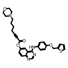 O=C(C#CCCCCN1CCOCC1)Oc1ccc2ncnc(Nc3ccc(OCc4cccs4)cc3)c2c1